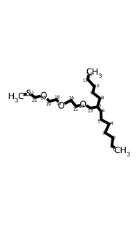 CCCCCCCC(CCCCC)COCCOCCOCSC